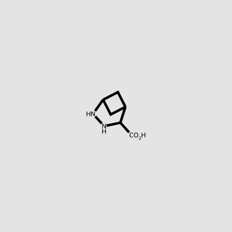 O=C(O)C1NNC2CC1C2